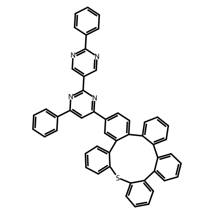 c1ccc(-c2cc(-c3ccc4c(c3)-c3ccccc3Sc3ccccc3-c3ccccc3-c3ccccc3-4)nc(-c3cnc(-c4ccccc4)nc3)n2)cc1